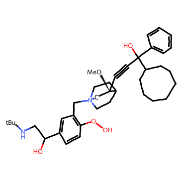 CO[C@]1(C#CC(O)(c2ccccc2)C2CCCCCCC2)C[N+]2(Cc3cc(C(O)CNC(C)(C)C)ccc3OO)CCC1CC2